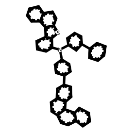 c1ccc(-c2cccc(N(c3ccc(-c4ccc5c(ccc6ccc7ccccc7c65)c4)cc3)c3cccc4c3sc3ccc5ccccc5c34)c2)cc1